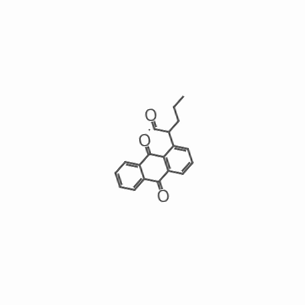 CCCC([C]=O)c1cccc2c1C(=O)c1ccccc1C2=O